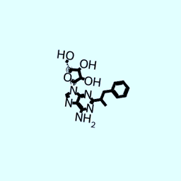 CC(Cc1ccccc1)c1nc(N)c2ncn([C@@H]3O[C@H](CO)C(O)C3O)c2n1